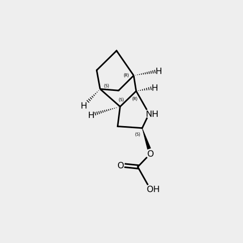 O=C(O)O[C@H]1C[C@H]2[C@H]3CC[C@H](C3)[C@H]2N1